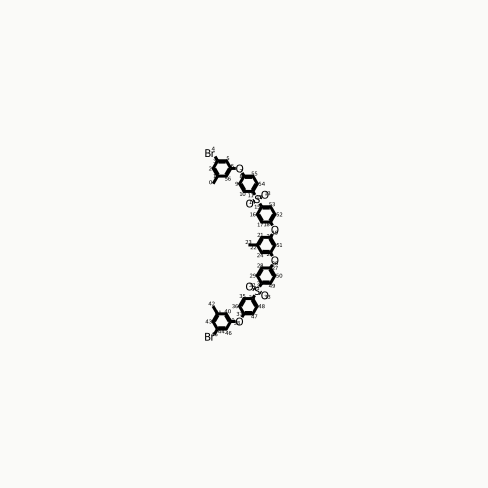 Cc1cc(Br)cc(Oc2ccc(S(=O)(=O)c3ccc(Oc4cc(C)cc(Oc5ccc(S(=O)(=O)c6ccc(Oc7cc(C)cc(Br)c7)cc6)cc5)c4)cc3)cc2)c1